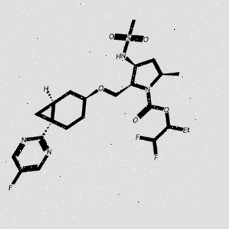 CCC(OC(=O)N1[C@H](C)C[C@H](NS(C)(=O)=O)[C@@H]1CO[C@H]1CC[C@@]2(c3ncc(F)cn3)C[C@H]2C1)C(F)F